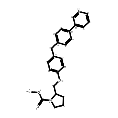 CC(C)(C)OC(=O)N1CCCC1COc1ccc(Cc2ccc(-c3cccnc3)cc2)cc1